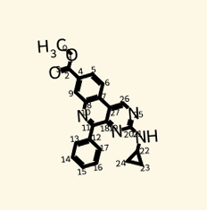 COC(=O)c1ccc2c(c1)nc(-c1ccccc1)c1nc(NC3CC3)ncc12